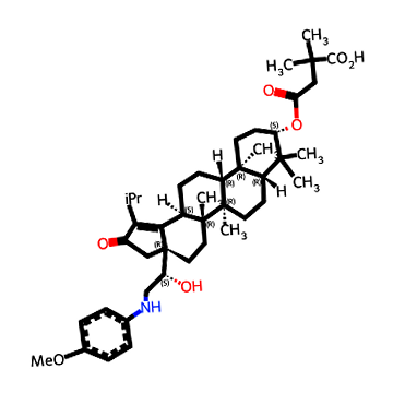 COc1ccc(NC[C@@H](O)[C@@]23CC[C@]4(C)[C@H](CC[C@@H]5[C@@]6(C)CC[C@H](OC(=O)CC(C)(C)C(=O)O)C(C)(C)[C@@H]6CC[C@]54C)C2=C(C(C)C)C(=O)C3)cc1